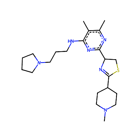 Cc1nc(C2CSC(C3CCN(C)CC3)=N2)nc(NCCCN2CCCC2)c1C